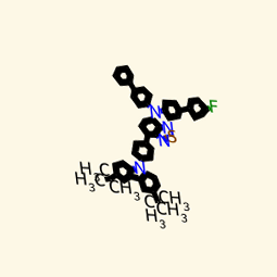 CC(C)(C)c1ccc2c(c1)c1cc(C(C)(C)C)ccc1n2-c1ccc(-c2ccc(N(c3ccc(-c4ccccc4)cc3)c3ccc(-c4ccc(F)cc4)cc3)c3nsnc23)cc1